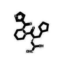 O=CN(O)C[C@@H](CC1CCCC1)C(=O)N1CCCCN1C(=O)c1ccoc1